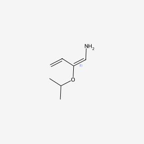 C=C/C(=C\N)OC(C)C